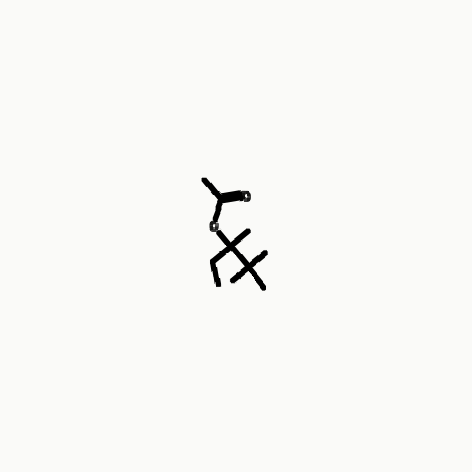 CCC(C)(OC(C)=O)C(C)(C)C